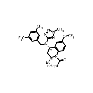 CCCCCCCC(=O)N1c2ccc(OC(F)(F)F)cc2[C@@H](N(Cc2cc(C(F)(F)F)cc(C(F)(F)F)c2)c2nnn(C)n2)C[C@H]1CC